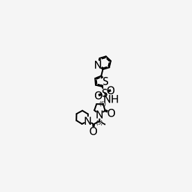 C[C@@H](C(=O)N1CCCCC1)N1CC[C@H](NS(=O)(=O)c2ccc(-c3ccccn3)s2)C1=O